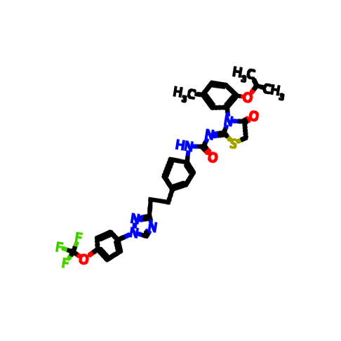 Cc1ccc(OC(C)C)c(N2C(=O)CS/C2=N\C(=O)Nc2ccc(CCc3ncn(-c4ccc(OC(F)(F)F)cc4)n3)cc2)c1